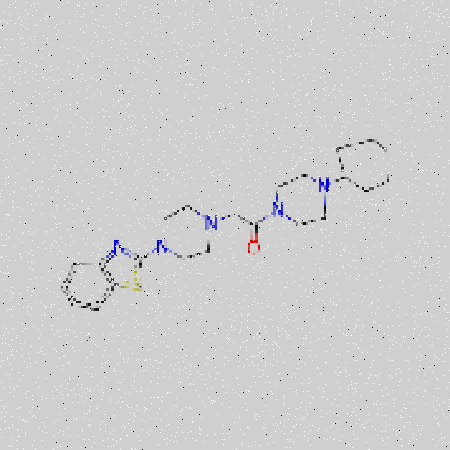 O=C(CN1CCN(c2nc3ccccc3s2)CC1)N1CCN(C2CCCCC2)CC1